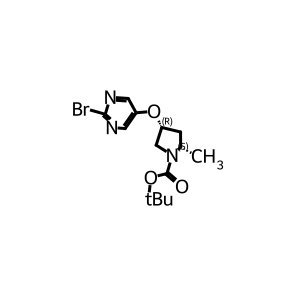 C[C@H]1C[C@@H](Oc2cnc(Br)nc2)CN1C(=O)OC(C)(C)C